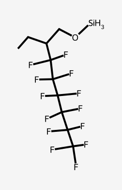 CCC(CO[SiH3])C(F)(F)C(F)(F)C(F)(F)C(F)(F)C(F)(F)C(F)(F)F